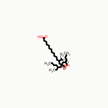 CCCCC(CC)CC(CC(CC)CCCC)(CC(CCCCCCCCCCCC(=O)O)C(C)C)C(=O)O